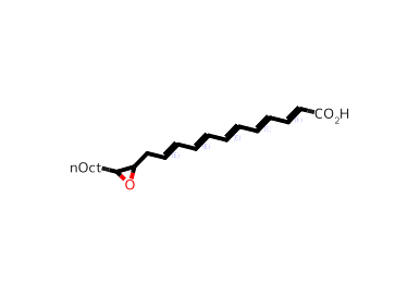 CCCCCCCCC1OC1C/C=C/C=C/C=C/C=C/C=C/C(=O)O